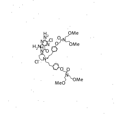 COCCN(CCOC)C(=O)COc1ccc(CCC[N+]2(CCCc3ccc(OCC(=O)N(CCOC)CCOC)cc3)CCC[C@H](NC(=O)c3nc(Cl)c(N)nc3N)C2)cc1.[Cl-]